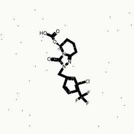 O=C(O)O[C@H]1CCCc2nn(Cc3ccc(C(F)(F)F)c(Cl)c3)c(=O)n21